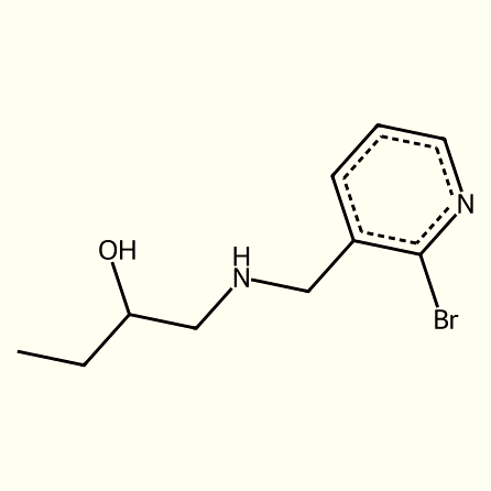 CCC(O)CNCc1cccnc1Br